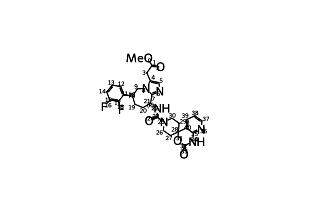 COC(=O)Cc1cnc2n1C[C@H](c1cccc(F)c1F)CC[C@H]2NC(=O)N1CCC2(CC1)OC(=O)Nc1ncccc12